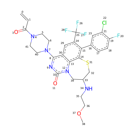 C=CC(=O)N1CCN(c2nc(=O)n3c4c(c(-c5ccc(F)c(Cl)c5)c(C(F)(F)F)cc24)SCC(NCCOC)C3)CC1